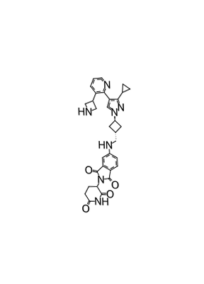 O=C1CCC(N2C(=O)c3ccc(NC[C@H]4C[C@H](n5cc(-c6ncccc6C6CNC6)c(C6CC6)n5)C4)cc3C2=O)C(=O)N1